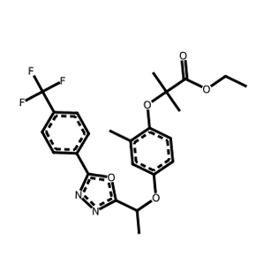 CCOC(=O)C(C)(C)Oc1ccc(OC(C)c2nnc(-c3ccc(C(F)(F)F)cc3)o2)cc1C